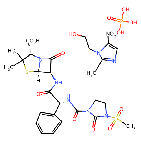 CC1(C)S[C@@H]2[C@H](NC(=O)[C@H](NC(=O)N3CCN(S(C)(=O)=O)C3=O)c3ccccc3)C(=O)N2[C@H]1C(=O)O.Cc1ncc([N+](=O)[O-])n1CCO.O=P(O)(O)O